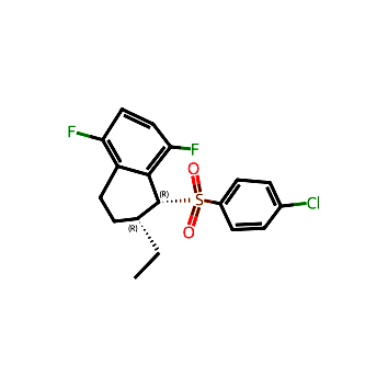 CC[C@@H]1CCc2c(F)ccc(F)c2[C@@H]1S(=O)(=O)c1ccc(Cl)cc1